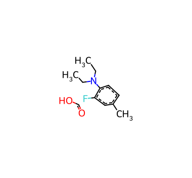 CCN(CC)c1ccc(C)cc1F.O=CO